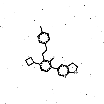 Cc1ccc(CCc2c(C3CCC3)ccc(-c3cnc4c(c3)CCN4)c2F)cc1